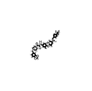 Cc1cc(NC(=O)C(=O)N2CCN(Cc3ccc4c(c3)OCO4)CC2)ccc1Oc1ccc(N(C)Cc2ccc(C(F)(F)F)cc2)cn1